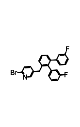 Fc1cccc(-c2cccc(Cc3ccc(Br)nc3)c2-c2cccc(F)c2)c1